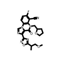 COCC(C)c1nc(-c2ncn3c2c(=O)n(CC2CCCO2)c2c(C#N)c(F)ccc23)no1